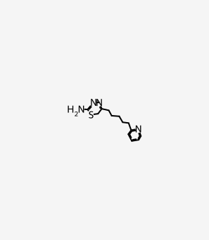 NC1=NN=C(CCCCCc2ccccn2)CS1